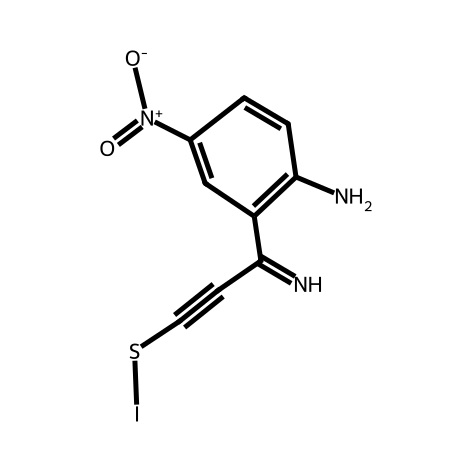 N=C(C#CSI)c1cc([N+](=O)[O-])ccc1N